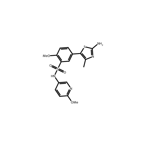 COc1ccc(NS(=O)(=O)c2cc(-c3sc(N)nc3C)ccc2OC)cn1